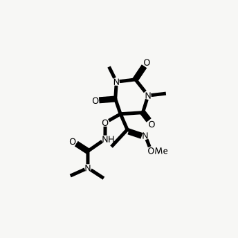 CON=C(C)C1(ONC(=O)N(C)C)C(=O)N(C)C(=O)N(C)C1=O